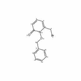 O=c1cccc(CBr)n1OCc1ccccc1